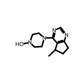 CC1CCc2ncnc(N3CCN(O)CC3)c21